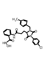 Cc1ccc(CN2C(=O)N(c3ccc(Cl)cc3)C(=O)C2CCC(=O)Nc2ccccc2C(=O)NO)cc1